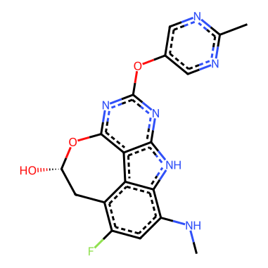 CNc1cc(F)c2c3c1[nH]c1nc(Oc4cnc(C)nc4)nc(c13)O[C@@H](O)C2